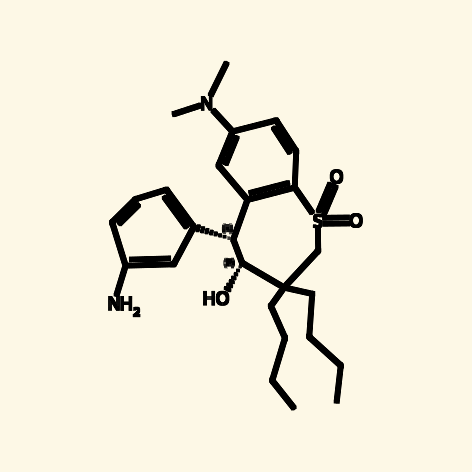 CCCCC1(CCCC)CS(=O)(=O)c2ccc(N(C)C)cc2[C@@H](c2cccc(N)c2)[C@H]1O